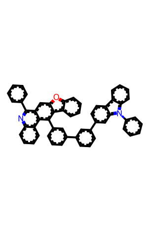 c1ccc(-c2nc3ccccc3c3c(-c4cccc(-c5cccc(-c6ccc7c8ccccc8n(-c8ccccc8)c7c6)c5)c4)c4c(cc23)oc2ccccc24)cc1